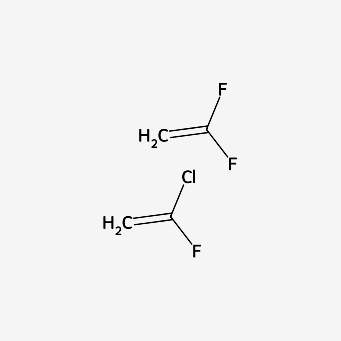 C=C(F)Cl.C=C(F)F